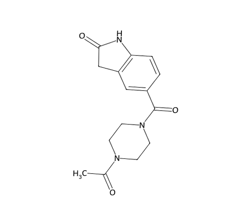 CC(=O)N1CCN(C(=O)c2ccc3c(c2)CC(=O)N3)CC1